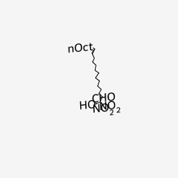 CCCCCCCCC=CCCCCCCCCCCCC([N+](=O)[O-])C(O)([C]=O)[N+](=O)[O-]